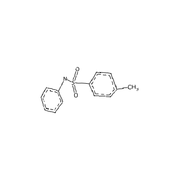 Cc1ccc(S(=O)(=O)[N]c2ccccc2)cc1